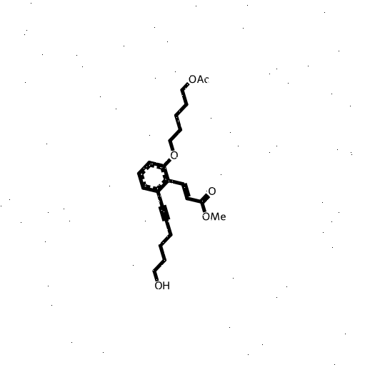 COC(=O)C=Cc1c(C#CCCCCO)cccc1OCCCCCOC(C)=O